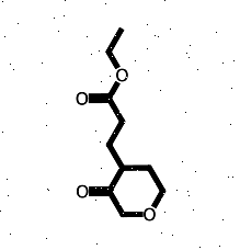 CCOC(=O)CCC1CCOCC1=O